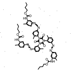 CCCCOC(=O)Nc1cc(N=C=Nc2ccc(C)c(-n3c(=O)n(-c4cc(N=C=Nc5ccc(C)c(NC(=O)OCCCC)c5)ccc4C)c(=O)n(-c4cc(N=C=Nc5ccc(C)c(NC(=O)OCCCC)c5)ccc4C)c3=O)c2)ccc1C